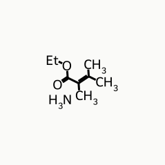 CCOC(=O)C(C)=C(C)C.N